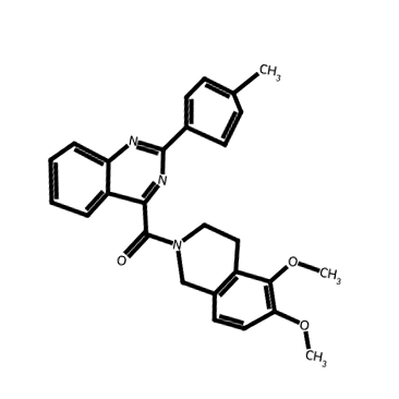 COc1ccc2c(c1OC)CCN(C(=O)c1nc(-c3ccc(C)cc3)nc3ccccc13)C2